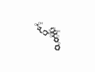 O=C(c1ccc(Oc2ccccc2)cc1Cl)c1c[nH]c2ncnc(NC3CCN(CC4CN(C(=O)O)C4)CC3)c12